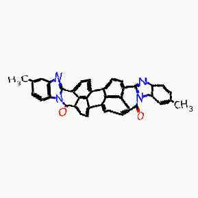 CC1=CC2C(C=C1)N=c1c3ccc4c5ccc6c7c(ccc(c8ccc(c(=O)n12)c3c84)c57)c(=O)n1c2ccc(C)cc2nc61